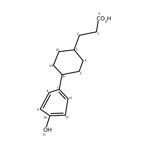 O=C(O)CCC1CCC(c2ccc(O)cc2)CC1